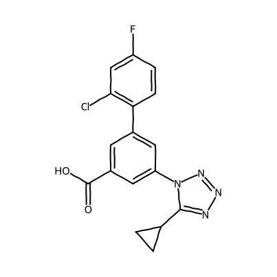 O=C(O)c1cc(-c2ccc(F)cc2Cl)cc(-n2nnnc2C2CC2)c1